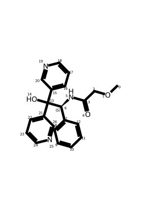 COCC(=O)N[C@@H](c1ccccc1)C(O)(c1cccnc1)c1cccnc1